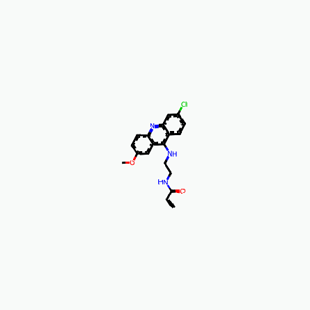 C=CC(=O)NCCNc1c2ccc(Cl)cc2nc2ccc(OC)cc12